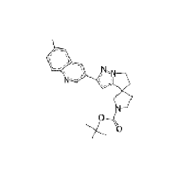 Cc1ccc2ncc(-c3cc4n(n3)CCC43CCN(C(=O)OC(C)(C)C)C3)cc2c1